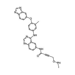 Cc1cc(Nc2ncnc3ccc(NC(=O)C#CCOPI)cc23)ccc1Oc1ccn2ncnc2c1